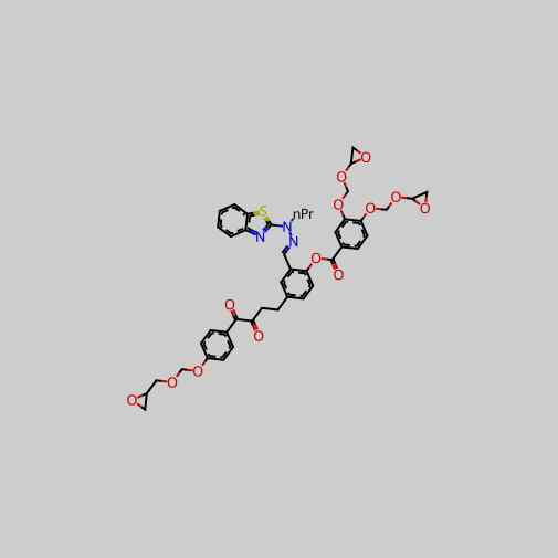 CCCN(/N=C/c1cc(CCC(=O)C(=O)c2ccc(OCOCC3CO3)cc2)ccc1OC(=O)c1ccc(OCOC2CO2)c(OCOC2CO2)c1)c1nc2ccccc2s1